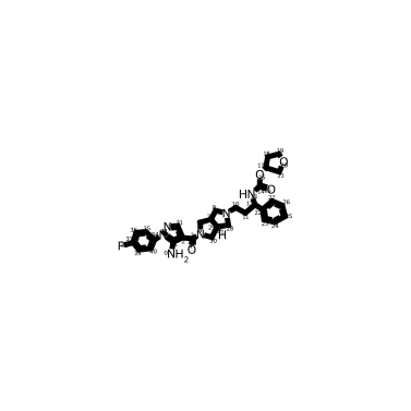 Nc1c(C(=O)N2CC3CN(CCC(NC(=O)OC4CCOC4)c4ccccc4)C[C@H]3C2)cnn1-c1ccc(F)cc1